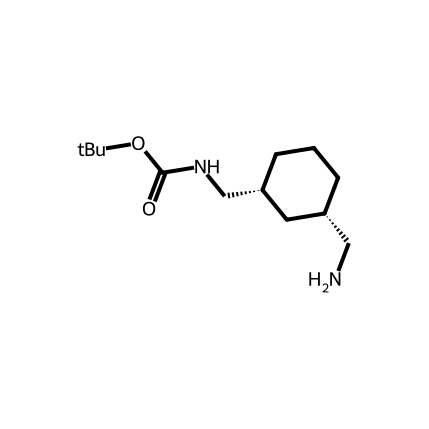 CC(C)(C)OC(=O)NC[C@@H]1CCC[C@H](CN)C1